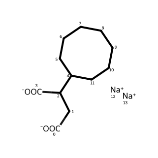 O=C([O-])CC(C(=O)[O-])C1CCCCCCC1.[Na+].[Na+]